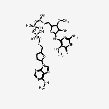 CNc1c(NC2OC(COP(O)O[PH](O)(O)O[PH](O)(O)OOCC3CCC(n4cnc5c(NC)ncnc54)O3)C(OC)C2O)nc(N)[nH]c1=O